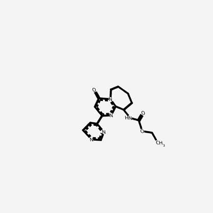 CCOC(=O)NC1CCCCn2c1nc(-c1ccncn1)cc2=O